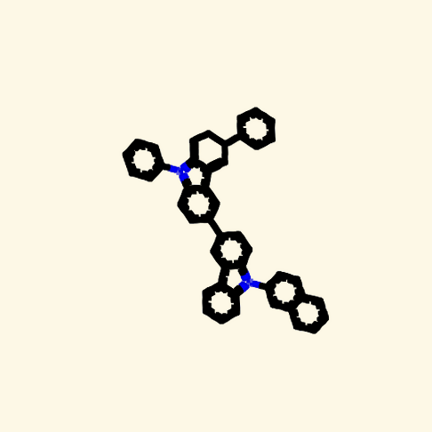 C1=c2c(n(-c3ccccc3)c3ccc(-c4ccc5c(c4)c4ccccc4n5-c4ccc5ccccc5c4)cc23)=CCC1c1ccccc1